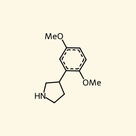 COc1ccc(OC)c(C2CCNC2)c1